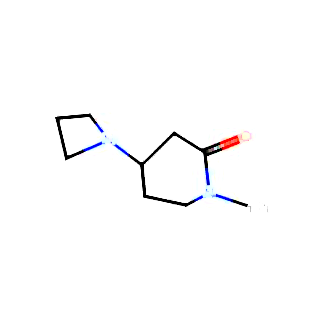 CCCN1CCC(N2CCC2)CC1=O